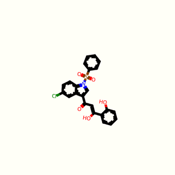 O=C(C=C(O)c1ccccc1O)c1cn(S(=O)(=O)c2ccccc2)c2ccc(Cl)cc12